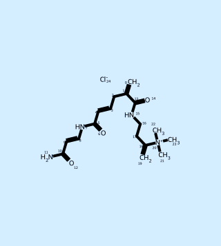 C=C(CC=CC(=O)NC=CC(N)=O)C(=O)NCCC(=C)[N+](C)(C)C.[Cl-]